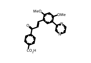 COc1cc(OC)c(-c2cnccn2)cc1/C=C/C(=O)c1ccc(C(=O)O)cc1